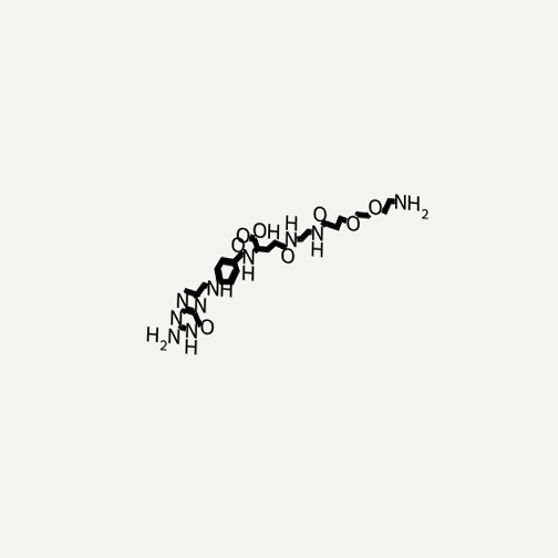 NCCOCCOCCC(=O)NCCNC(=O)CCC(NC(=O)c1ccc(NCc2cnc3nc(N)[nH]c(=O)c3n2)cc1)C(=O)O